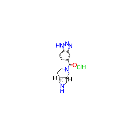 Cl.O=C(c1ccc2[nH]nnc2c1)N1CC[C@@H]2CNC[C@H]2C1